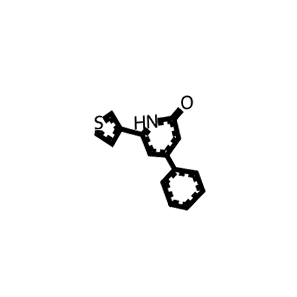 O=c1cc(-c2ccccc2)cc(-c2ccsc2)[nH]1